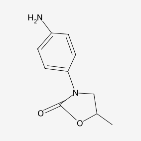 CC1CN(c2ccc(N)cc2)C(=O)O1